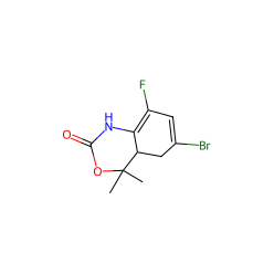 CC1(C)OC(=O)NC2=C(F)C=C(Br)CC21